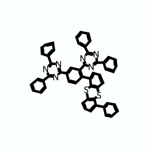 c1ccc(-c2nc(-c3ccccc3)nc(-c3ccc(-c4cccc5c4Sc4cccc(-c6ccccc6)c4S5)c(-c4nc(-c5ccccc5)nc(-c5ccccc5)n4)c3)n2)cc1